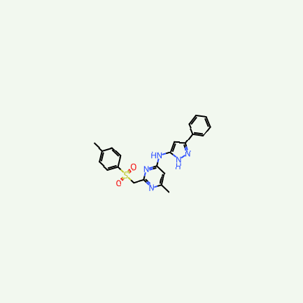 Cc1ccc(S(=O)(=O)Cc2nc(C)cc(Nc3cc(-c4ccccc4)n[nH]3)n2)cc1